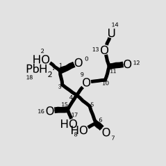 O=C(O)CC(CC(=O)O)(OCC(=O)[O][U])C(=O)O.[PbH2]